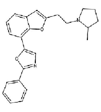 CC1CCCN1CCc1cc2cccc(-c3cnc(-c4ccccc4)o3)c2o1